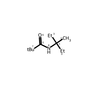 CCC(C)(CC)NC(=O)C(C)(C)C